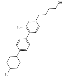 CCc1cc(CCCCO)ccc1-c1ccc(C2CCC(CC)CC2)cc1